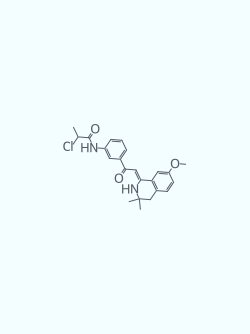 COc1ccc2c(c1)/C(=C/C(=O)c1cccc(NC(=O)C(C)Cl)c1)NC(C)(C)C2